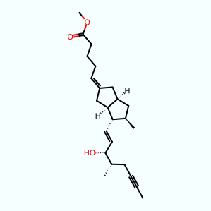 CC#CC[C@H](C)[C@H](O)/C=C/[C@@H]1[C@H]2C/C(=C/CCCC(=O)OC)C[C@H]2C[C@H]1C